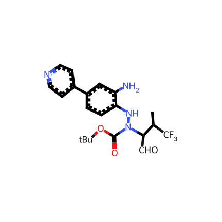 CC(C(C=O)N(Nc1ccc(-c2ccncc2)cc1N)C(=O)OC(C)(C)C)C(F)(F)F